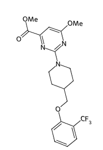 COC(=O)c1cc(OC)nc(N2CCC(COc3ccccc3C(F)(F)F)CC2)n1